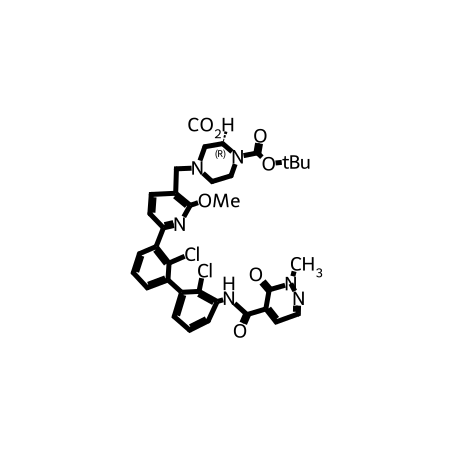 COc1nc(-c2cccc(-c3cccc(NC(=O)c4ccnn(C)c4=O)c3Cl)c2Cl)ccc1CN1CCN(C(=O)OC(C)(C)C)[C@@H](C(=O)O)C1